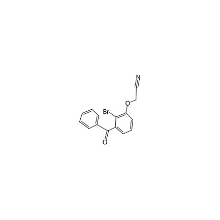 N#CCOc1cccc(C(=O)c2ccccc2)c1Br